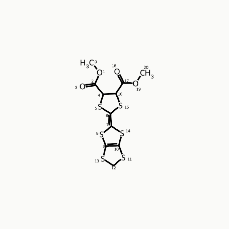 COC(=O)C1SC(=C2SC3=C(SCS3)S2)SC1C(=O)OC